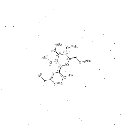 CCCCOC[C@H]1O[C@@H](c2cc(CBr)ccc2F)[C@H](OCCCC)[C@@H](OCCCC)[C@@H]1OCCCC